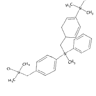 C[Si](C)(Cl)Cc1ccc([Si](C)(CC2C=CC([Si](C)(C)Cl)=CC2)c2ccccc2)cc1